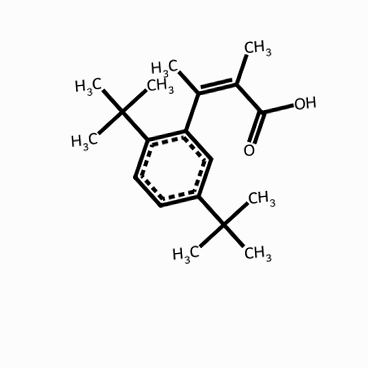 CC(C(=O)O)=C(C)c1cc(C(C)(C)C)ccc1C(C)(C)C